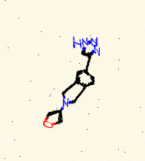 c1cc2c(cc1-c1c[nH]nn1)CN(C1COC1)C2